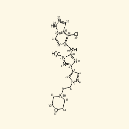 Cn1nc(-c2cnn(CCN3CCOCC3)c2)nc1Nc1ccc2[nH]ncc2c1Cl